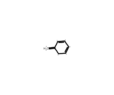 C=C1C=CC=CC1